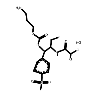 CS(=O)(=O)c1ccc(C(OC(=O)OCCCN)C(CF)NC(=O)C(Cl)Cl)cc1.Cl